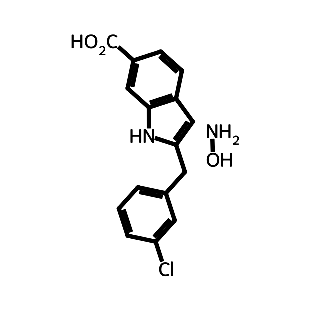 NO.O=C(O)c1ccc2cc(Cc3cccc(Cl)c3)[nH]c2c1